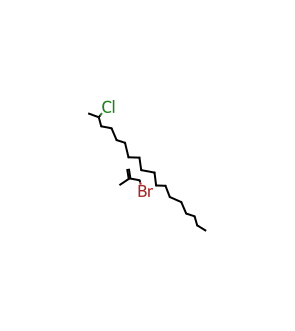 C=C(C)CBr.CCCCCCCCCCCCCCCCC(C)Cl